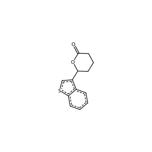 O=C1CCCC(c2csc3ccccc23)O1